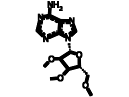 COC[C@H]1O[C@@H](n2cnc3c(N)ncnc32)C(OC)C1OC